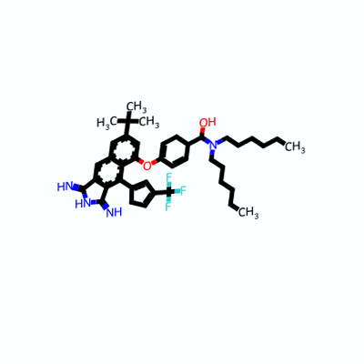 CCCCCCN(CCCCCC)C(O)C1C=CC(Oc2cc(C(C)(C)C)cc3cc4c(c(C5=CC(C(F)(F)F)=CC5)c23)C(=N)NC4=N)=CC1